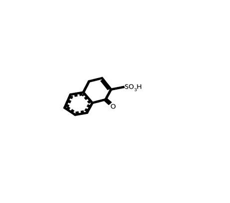 O=C1C(S(=O)(=O)O)=CCc2ccccc21